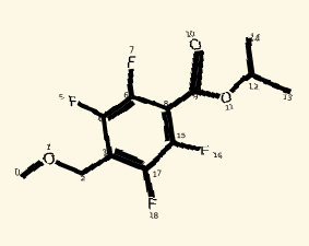 COCc1c(F)c(F)c(C(=O)OC(C)C)c(F)c1F